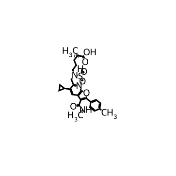 CNC(=O)c1c(-c2ccc(C)cc2)oc2nc(CN(CCC[C@H](C)C(=O)O)[SH](=O)=O)c(C3CC3)cc12